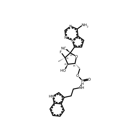 C[C@@]1(F)[C@H](O)[C@@H](CO[PH](=O)NCCc2c[nH]c3ccccc23)O[C@@]1(C#N)c1ccc2c(N)ncnn12